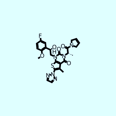 COc1ccc(F)cc1[C@@H](O)Cn1c(=O)n([C@@H](C)C(=O)N2CC=CC2)c(=O)c2c(C)c(-n3nccn3)sc21